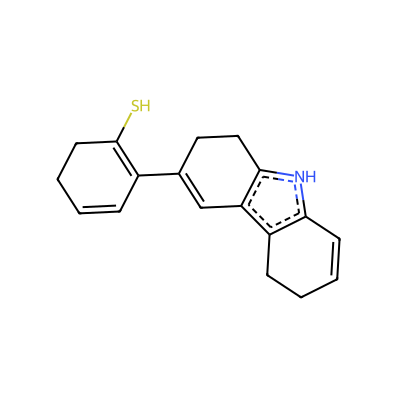 SC1=C(C2=Cc3c([nH]c4c3CCC=C4)CC2)C=CCC1